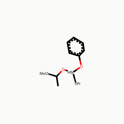 CCC[SiH](Oc1ccccc1)OC(C)OC